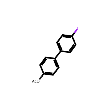 CC(=O)Oc1ccc(-c2ccc(I)cc2)cc1